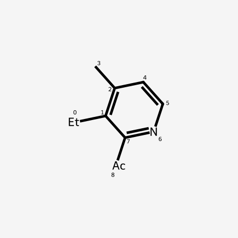 CCc1c(C)ccnc1C(C)=O